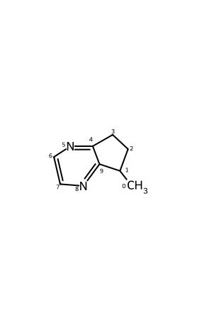 CC1CCc2nccnc21